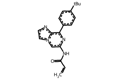 C=CC(=O)Nc1cn2ccnc2c(-c2ccc(C(C)(C)C)cc2)n1